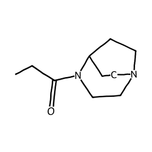 CCC(=O)N1CCN2CCC1CC2